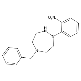 O=[N+]([O-])c1ccccc1N1CCN(Cc2ccccc2)CCN1